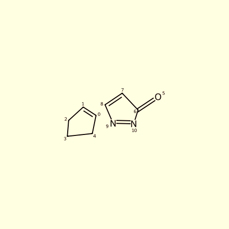 C1=CCCC1.O=C1C=CN=N1